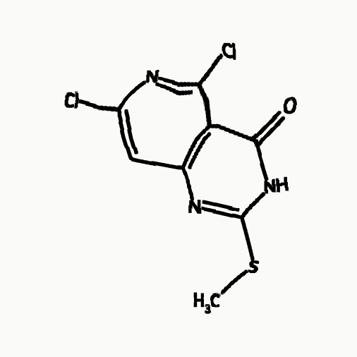 CSc1nc2cc(Cl)nc(Cl)c2c(=O)[nH]1